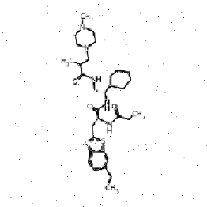 CCC(=O)N[C@@H](Cc1nc2ccc(CC)cc2s1)C(=O)N[C@H](CNC(=O)C(C)CN1CCN(C)CC1)C1CCCCC1